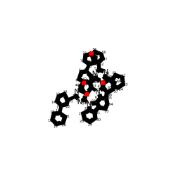 c1ccc(-c2ccc(-c3nc(-c4cccc(-c5ccccc5)c4)nc(-n4c5ccccc5c5ccc6c7ccccc7n(-c7ccccc7-c7nc(-c8ccccc8)nc(-c8ccccc8)n7)c6c54)n3)cc2)cc1